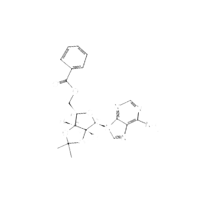 CC1(C)O[C@@H]2[C@H](O1)[C@@H](COC(=O)c1ccccc1)O[C@H]2n1cnc2c(N)ncnc21